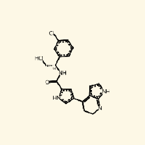 O=C(N[C@H](CO)c1cccc(Cl)c1)c1cc(C2=c3cc[nH]c3=NCC2)c[nH]1